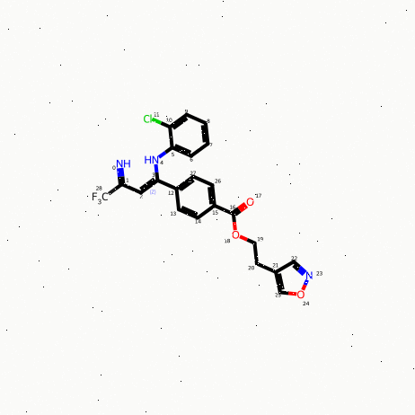 N=C(/C=C(\Nc1ccccc1Cl)c1ccc(C(=O)OCCc2cnoc2)cc1)C(F)(F)F